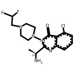 C[C@H](N)c1nc2cccc(Cl)c2c(=O)n1N1CCN(CC(F)F)CC1